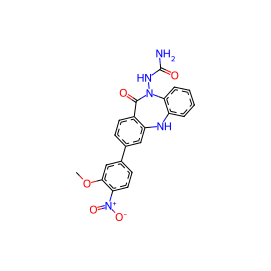 COc1cc(-c2ccc3c(c2)Nc2ccccc2N(NC(N)=O)C3=O)ccc1[N+](=O)[O-]